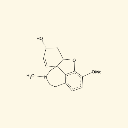 COc1ccc2c3c1OC1C[C@@H](O)C=CC31CN(C)CC2